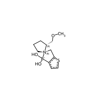 COC[C@H]1CCC[N@+]12Cc1sccc1[B-]2(O)O